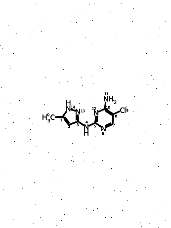 Cc1cc(Nc2ncc(Cl)c(N)n2)n[nH]1